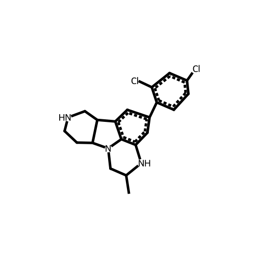 CC1CN2c3c(cc(-c4ccc(Cl)cc4Cl)cc3C3CNCCC32)N1